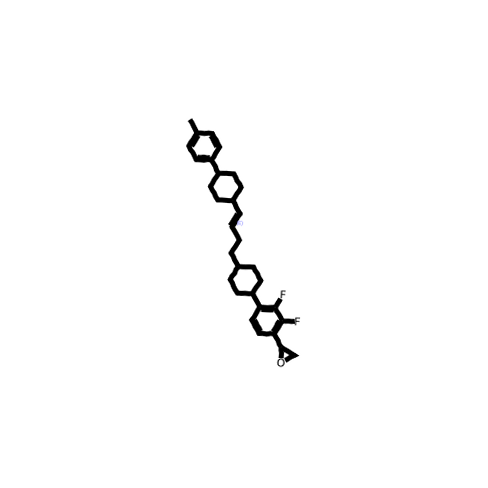 Cc1ccc(C2CCC(/C=C/CCC3CCC(c4ccc(C5CO5)c(F)c4F)CC3)CC2)cc1